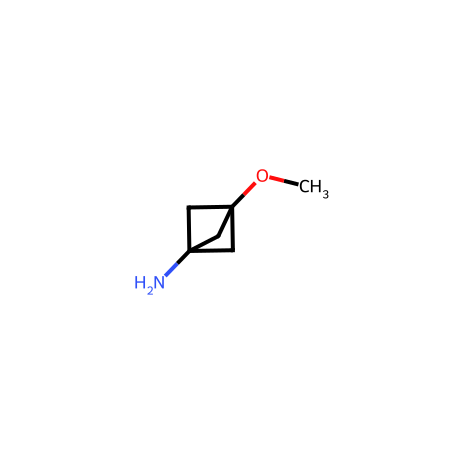 COC12CC(N)(C1)C2